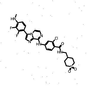 CNc1ccc(-c2cnc3c(Nc4ccc(C(=O)NCC5CCS(=O)(=O)CC5)c(Cl)c4)nccn23)c(F)c1F